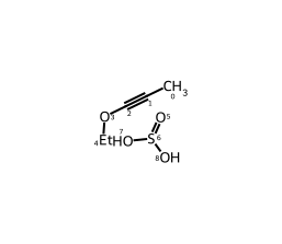 CC#COCC.O=S(O)O